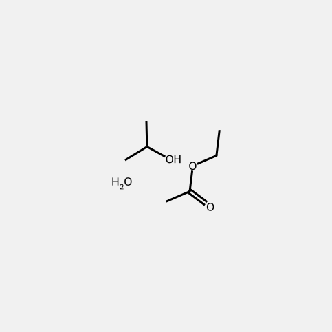 CC(C)O.CCOC(C)=O.O